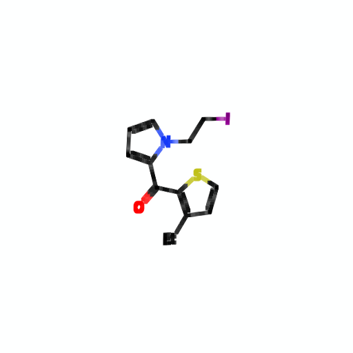 CCc1ccsc1C(=O)c1cccn1CCI